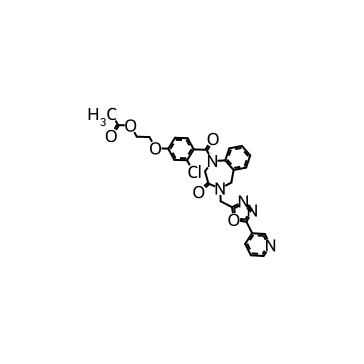 CC(=O)OCCOc1ccc(C(=O)N2CC(=O)N(Cc3nnc(-c4cccnc4)o3)Cc3ccccc32)c(Cl)c1